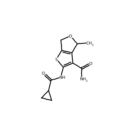 CC1OCc2sc(NC(=O)C3CC3)c(C(N)=O)c21